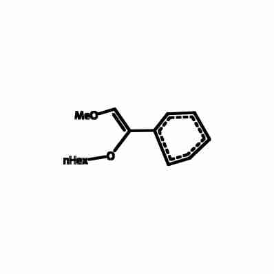 CCCCCCOC(=COC)c1ccccc1